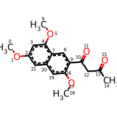 COc1cc(OC)c2cc(C(=O)CC(C)=O)c(OC)cc2c1